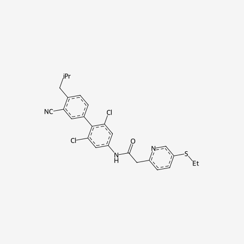 CCSc1ccc(CC(=O)Nc2cc(Cl)c(-c3ccc(CC(C)C)c(C#N)c3)c(Cl)c2)nc1